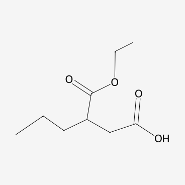 CCCC(CC(=O)O)C(=O)OCC